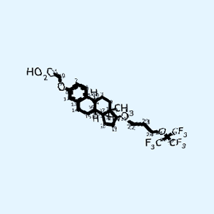 C[C@]12CC[C@@H]3c4ccc(OCC(=O)O)cc4CC[C@H]3[C@@H]1CC[C@@H]2OCCCOC(C(F)(F)F)(C(F)(F)F)C(F)(F)F